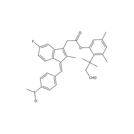 CC1=C(CC(=O)Oc2cc(C)cc(C)c2C(C)(C)CC=O)c2cc(F)ccc2C1=Cc1ccc([S+](C)[O-])cc1